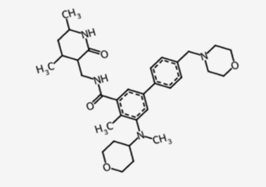 Cc1c(C(=O)NCC2C(=O)NC(C)CC2C)cc(-c2ccc(CN3CCOCC3)cc2)cc1N(C)C1CCOCC1